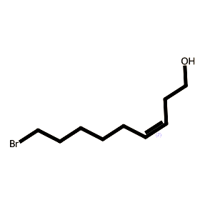 OCC/C=C\CCCCCBr